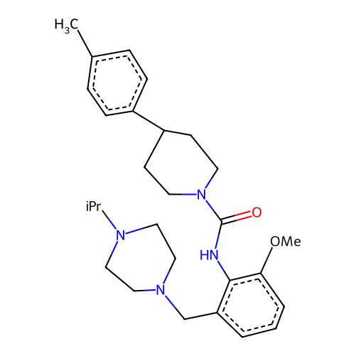 COc1cccc(CN2CCN(C(C)C)CC2)c1NC(=O)N1CCC(c2ccc(C)cc2)CC1